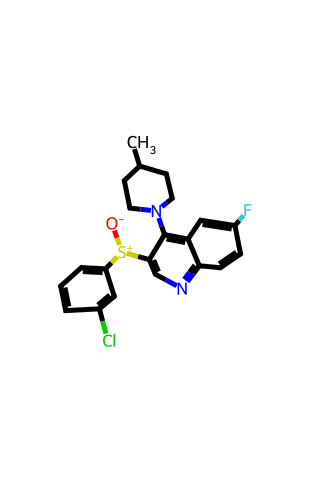 CC1CCN(c2c([S+]([O-])c3cccc(Cl)c3)cnc3ccc(F)cc23)CC1